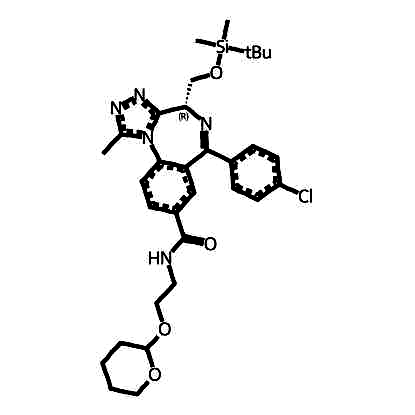 Cc1nnc2n1-c1ccc(C(=O)NCCOC3CCCCO3)cc1C(c1ccc(Cl)cc1)=N[C@H]2CO[Si](C)(C)C(C)(C)C